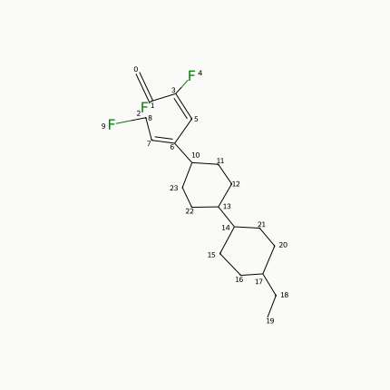 C=C(F)/C(F)=C\C(=C/CF)C1CCC(C2CCC(CC)CC2)CC1